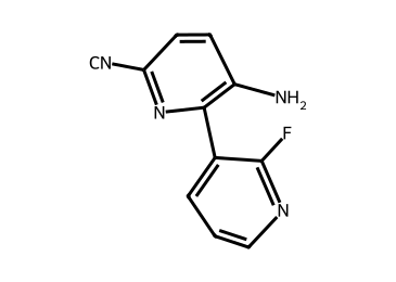 [C-]#[N+]c1ccc(N)c(-c2cccnc2F)n1